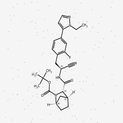 CCn1nccc1-c1ccc(C[C@@H](C#N)NC(=O)[C@@H]2[C@H]3CC[C@H](C3)N2C(=O)OC(C)(C)C)c(F)c1